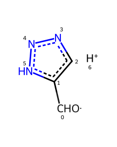 O=[C]c1cnn[nH]1.[H+]